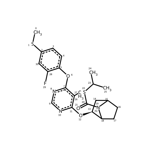 CSc1ccc(Oc2ncnc(O[C@H]3CC4CCC3N4C(=O)SC(C)C)c2C)c(F)c1